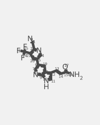 N#Cc1ncc(-c2cnc3[nH]cc(C=CC(N)=O)c3c2)cc1C(F)(F)F